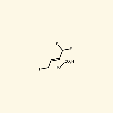 FCC=CC(F)F.O=C(O)O